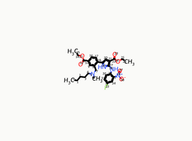 CCCCCN(C)Cc1cc(C(=O)OCC)ccc1-c1cc(C(=O)OCC)c(Nc2ccc(F)cc2[N+](=O)[O-])[nH]1